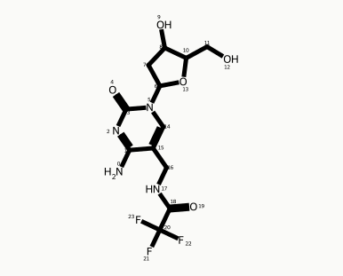 Nc1nc(=O)n(C2CC(O)C(CO)O2)cc1CNC(=O)C(F)(F)F